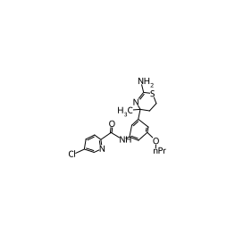 CCCOc1cc(NC(=O)c2ccc(Cl)cn2)cc(C2(C)CCSC(N)=N2)c1